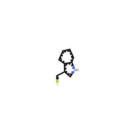 S=Cc1c[nH]c2ccccc12